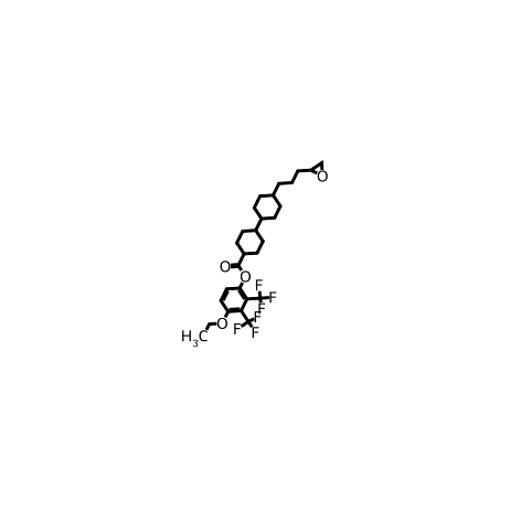 CCOc1ccc(OC(=O)C2CCC(C3CCC(CCCC4CO4)CC3)CC2)c(C(F)(F)F)c1C(F)(F)F